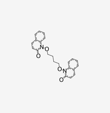 O=c1ccc2ccccc2n1OCCCCOn1c(=O)ccc2ccccc21